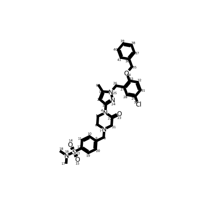 Cc1cc(N2CCN(Cc3ccc(S(=O)(=O)N(C)C)cc3)CC2=O)nn1Cc1cc(Cl)ccc1OCc1ccccc1